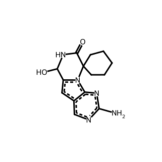 Nc1ncc2cc3n(c2n1)C1(CCCCC1)C(=O)NC3O